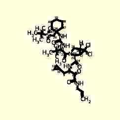 C=CCNC(=O)C(=O)C(CC1CC1)NC(=O)[C@@H]1C2[C@H](CN1C(=O)[C@@H](NC(=O)NC1(CS(=O)(=O)C(C)(C)C)CCCCC1)C(C)(C)C)C2(Cl)Cl